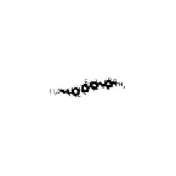 CCCCC[C@H]1CC[C@H](c2ccc(-c3ccc(CCc4ccc(CC)cc4)cc3)c(F)c2)CC1